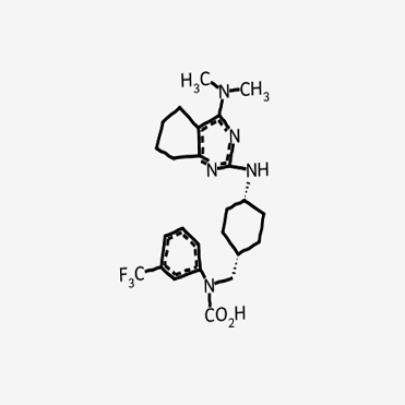 CN(C)c1nc(N[C@H]2CC[C@@H](CN(C(=O)O)c3cccc(C(F)(F)F)c3)CC2)nc2c1CCCC2